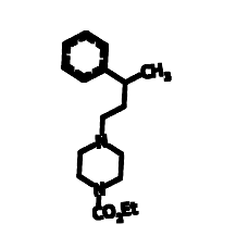 CCOC(=O)N1CCN(CCC(C)c2ccccc2)CC1